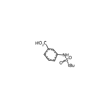 CC(C)(C)S(=O)(=O)Nc1cccc(C(=O)O)c1